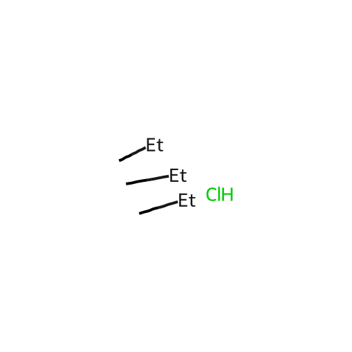 CCC.CCC.CCC.Cl